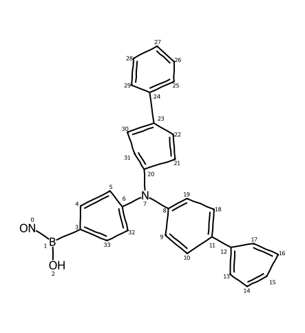 O=NB(O)c1ccc(N(c2ccc(-c3ccccc3)cc2)c2ccc(-c3ccccc3)cc2)cc1